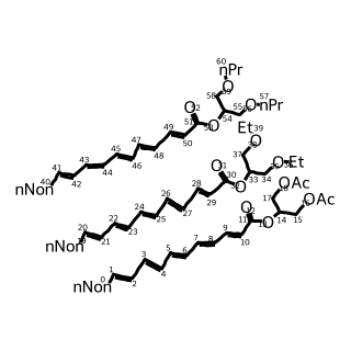 CCCCCCCCC/C=C/C=C/C=C/C=C/C=C/C(=O)OC(COC(C)=O)COC(C)=O.CCCCCCCCC/C=C/C=C/C=C/C=C/C=C/C(=O)OC(COCC)COCC.CCCCCCCCC/C=C/C=C/C=C/C=C/C=C/C(=O)OC(COCCC)COCCC